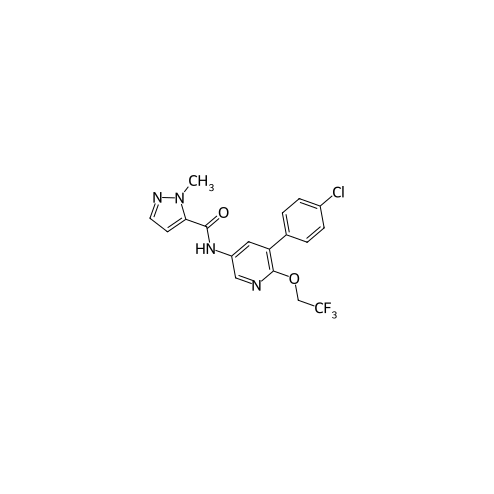 Cn1nccc1C(=O)Nc1cnc(OCC(F)(F)F)c(-c2ccc(Cl)cc2)c1